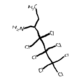 CCC(N)C(Cl)(Cl)C(Cl)(Cl)C(Cl)(Cl)Cl